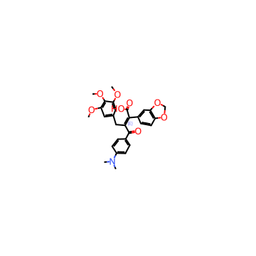 COc1cc(C/C(C(=O)c2ccc(N(C)C)cc2)=C(\C(=O)O)c2ccc3c(c2)OCO3)cc(OC)c1OC